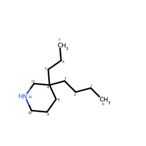 CCCCC1(CCC)CCCNC1